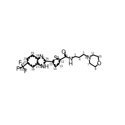 O=C(NCCCN1CCOCC1)c1ccc(-c2nc3ccc(C(F)(F)F)cc3[nH]2)s1